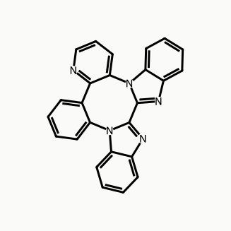 c1ccc2c(c1)nc1c3nc4ccccc4n3c3cccnc3c3ccccc3n21